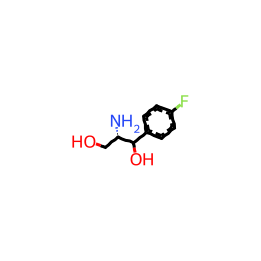 N[C@@H](CO)C(O)c1ccc(F)cc1